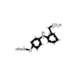 CCCCCOc1ccc(Nc2ccccc2CC(=O)O)cc1